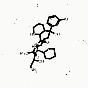 COC(=O)NCCCC(O)(c1cccc(Cl)c1)C1CCCNC1C(=O)NC(CC(O)CN)C1CCCCC1